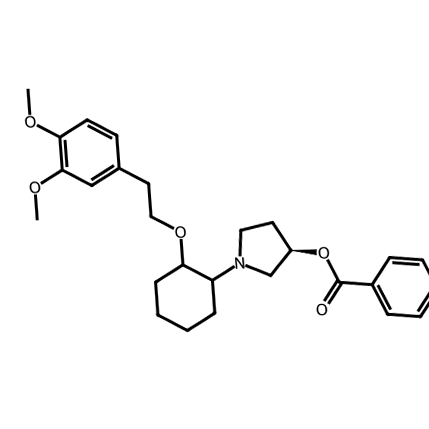 COc1ccc(CCOC2CCCCC2N2CC[C@@H](OC(=O)c3ccccc3)C2)cc1OC